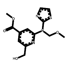 COCN(c1cc(C(=O)OC)cc(CO)n1)c1nccs1